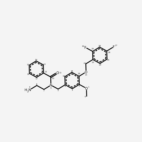 COc1cc(CN(CCN)C(=O)c2ccccc2)ccc1OCc1ccc(F)cc1F